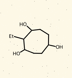 CCC1C(O)CCC(O)CCC1O